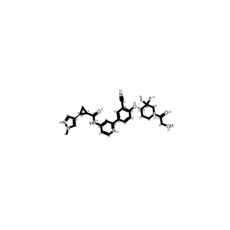 Cn1cc([C@H]2CC2C(=O)Nc2ccnc(-c3ccc(O[C@H]4CCN(C(=O)CO)CC4(F)F)c(C#N)c3)c2)cn1